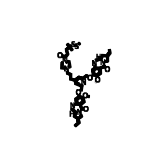 C/C=C1\C[C@H]2C=Nc3cc(OCc4cc(CCCN5CCN(C(=O)CCC(C)(C)SSC)CC5)cc(COc5cc6c(cc5OC)C(=O)N5C/C(=C/C)C[C@H]5C=N6)n4)c(OC)cc3C(=O)N2C1